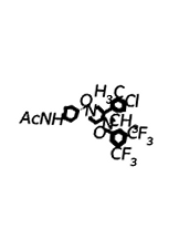 CC(=O)N[C@H]1CC[C@H](C(=O)N2CCC(N(C)C(=O)c3cc(C(F)(F)F)cc(C(F)(F)F)c3)C(c3ccc(Cl)c(C)c3)C2)CC1